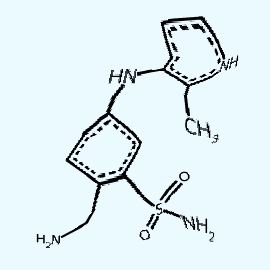 Cc1[nH]ccc1Nc1ccc(CN)c(S(N)(=O)=O)c1